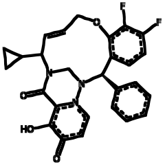 O=C1c2c(O)c(=O)ccn2N2CN1C(C1CC1)/C=C/COc1c(ccc(F)c1F)[C@H]2c1ccccc1